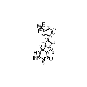 CCC1C(=O)N(C)C(=N)N[C@]1(C)c1cc(-c2cccc(C(F)(F)F)c2)cs1